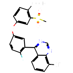 CS(=O)(=O)c1cc(Oc2ccc(F)c(-c3ncnc4c(C(F)(F)F)cccc34)c2)ccc1C(=O)O